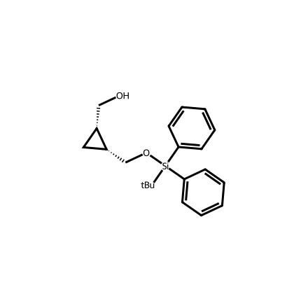 CC(C)(C)[Si](OC[C@@H]1C[C@@H]1CO)(c1ccccc1)c1ccccc1